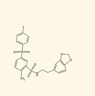 Cc1ccc(S(=O)(=O)c2ccc(F)cc2)cc1S(=O)(=O)NCCc1ccc2c(c1)OCO2